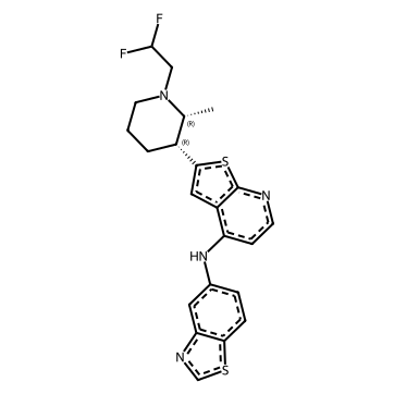 C[C@@H]1[C@H](c2cc3c(Nc4ccc5scnc5c4)ccnc3s2)CCCN1CC(F)F